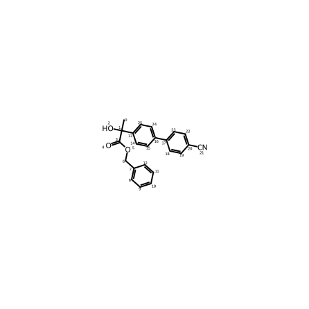 CC(O)(C(=O)OCc1ccccc1)c1ccc(-c2ccc(C#N)cc2)cc1